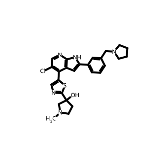 CN1CCC(O)(c2ncc(-c3c(Cl)cnc4[nH]c(-c5cccc(CN6CCCC6)c5)cc34)s2)C1